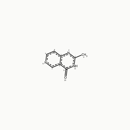 Cc1nc2ccncc2c(=O)[nH]1